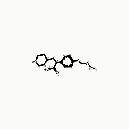 COCSc1ccc(C(CC2CCOCC2)C(=O)O)cc1